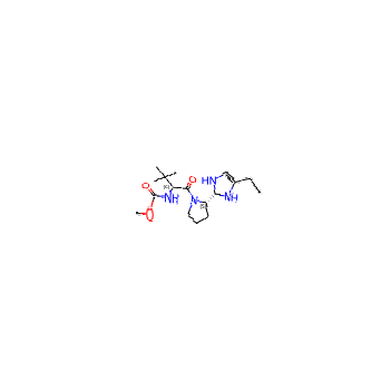 CCC1=CNC([C@@H]2CCCN2C(=O)[C@@H](NC(=O)OC)C(C)(C)C)N1